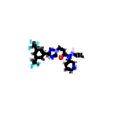 CNN(C(=O)/C=C\n1cnc(-c2cc(C(F)(F)F)cc(C(F)(F)F)c2)n1)c1cccnc1